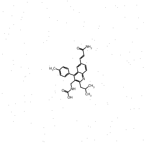 Cc1ccc(-c2c(CNC(=O)O)c(CC(C)C)nc3ccc(/C=C/C(N)=O)cc23)cc1